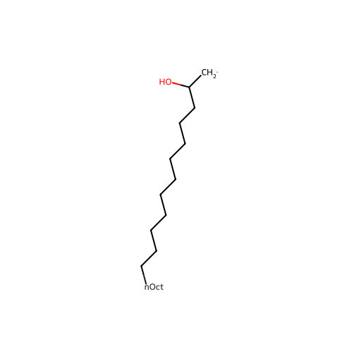 [CH2]C(O)CCCCCCCCCCCCCCCCCC